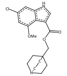 COc1cc(Cl)cc2[nH]cc(C(=O)OCC34CCN(CC3)CC4)c12